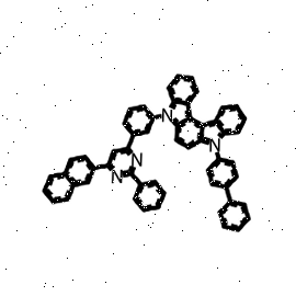 c1ccc(-c2ccc(-n3c4ccccc4c4c5c6ccccc6n(-c6cccc(-c7cc(-c8ccc9ccccc9c8)nc(-c8ccccc8)n7)c6)c5ccc43)cc2)cc1